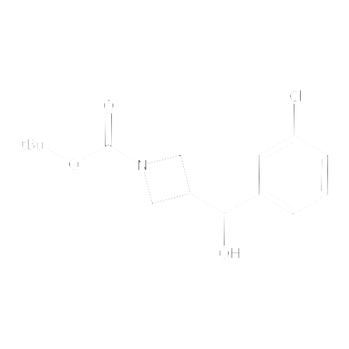 CC(C)(C)OC(=O)N1CC(C(O)c2cccc(Cl)c2)C1